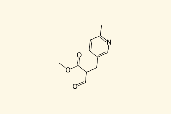 COC(=O)C(C=O)Cc1ccc(C)nc1